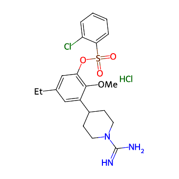 CCc1cc(OS(=O)(=O)c2ccccc2Cl)c(OC)c(C2CCN(C(=N)N)CC2)c1.Cl